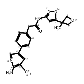 CC1(c2cc(NC(=O)Cc3ccc(-c4cnc(N)c(C(F)(F)F)c4)cc3)no2)COC1